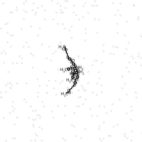 C=CC(=O)OCCCCCCOc1ccc(C(=O)Oc2ccc(Oc3cc(N[S+]([O-])c4ccc(C)cc4)c4c(c3N)C(=O)c3c(N)c(Oc5ccc(OC(=O)c6ccc(OCCCCCCOC(=O)C=C)cc6)cc5)cc(NS(=O)(=O)c5ccc(C)cc5)c3C4=O)cc2)cc1